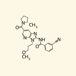 COCCCn1c(NC(=O)c2cccc(C#N)c2)nc2cc(C(=O)N3CCC[C@@H]3C)cnc21